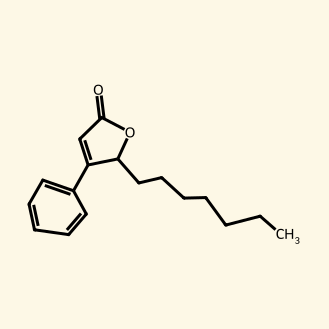 CCCCCCCC1OC(=O)C=C1c1ccccc1